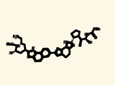 CON[C@H](CC(CCCN)c1nc2ccc3cc(-c4cc5c(o4)-c4[nH]c([C@@H]6CCCN6C(=O)[C@@H](NC(=O)OC)C(C)C)nc4CC5)ccc3c2[nH]1)C(C)C